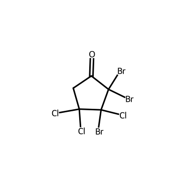 O=C1CC(Cl)(Cl)C(Cl)(Br)C1(Br)Br